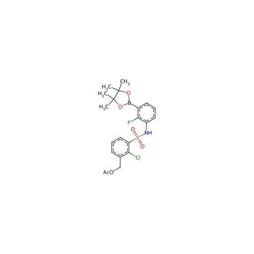 CC(=O)OCc1cccc(S(=O)(=O)Nc2cccc(B3OC(C)(C)C(C)(C)O3)c2F)c1Cl